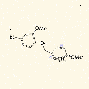 C=C(/C=C\C(=C/C)COc1ccc(CC)cc1OC)OC